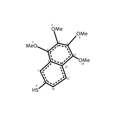 COc1c(OC)c(OC)c2cc(S)ccc2c1OC